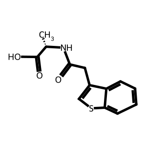 C[C@H](NC(=O)Cc1csc2ccccc12)C(=O)O